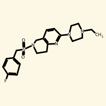 CCN1CCN(c2ccc3c(n2)CCN(S(=O)(=O)Cc2ccc(F)cc2)C3)CC1